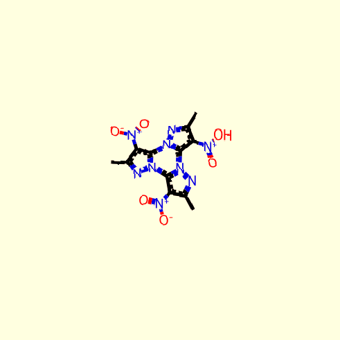 Cc1nn2c(c1[N+](=O)[O-])n1nc(C)c([N+](=O)[O-])c1n1nc(C)c([N+](=O)O)c21